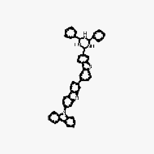 c1ccc(C2NC(c3ccccc3)NC(c3ccc4c(c3)sc3ccc(-c5ccc6c(c5)oc5cc(-n7c8ccccc8c8ccccc87)ccc56)cc34)N2)cc1